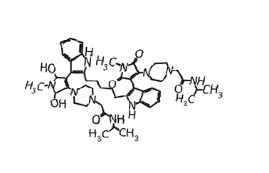 CC(C)NC(=O)CN1CCN(C2=C(c3c(CCCCCc4[nH]c5ccccc5c4C4=C(N5CCN(CC(=O)NC(C)C)CC5)C(O)N(C)C4O)[nH]c4ccccc34)C(=O)N(C)C2=O)CC1